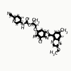 COc1cnc2c(-c3nc4c(Cl)c(F)c(OC[C@@H](C)OC(=O)Nc5ccc(C#N)nc5)cc4s3)cc(C)cc2n1